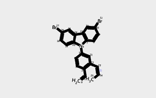 C=Cc1ccc(-n2c3ccc(Br)cc3c3cc(Br)ccc32)cc1/C=C\C